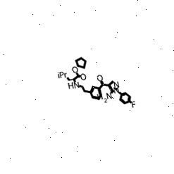 CC(C)C[C@H](NCCc1cccc(C(=O)c2cnn(-c3ccc(F)cc3)c2N)c1)C(=O)OC1CCCC1